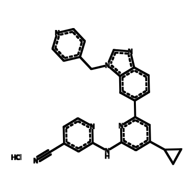 Cl.N#Cc1ccnc(Nc2cc(C3CC3)cc(-c3ccc4ncn(Cc5ccncc5)c4c3)n2)c1